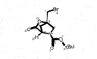 CC(C)(C)OC(=O)N1C[C@]2(CBr)C[C@H]1C(=O)O2